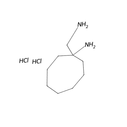 Cl.Cl.NCC1(N)CCCCCCC1